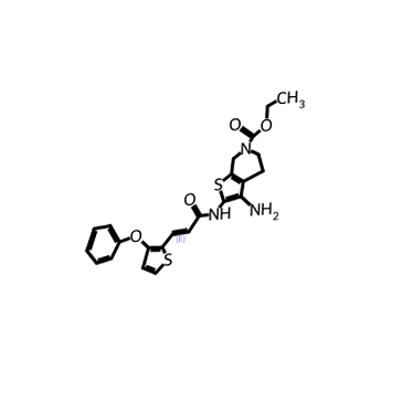 CCOC(=O)N1CCc2c(sc(NC(=O)/C=C/c3sccc3Oc3ccccc3)c2N)C1